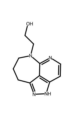 OCCN1CCCc2n[nH]c3ccnc1c23